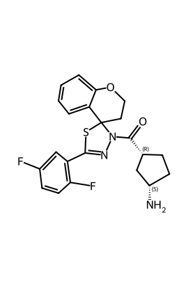 N[C@H]1CC[C@@H](C(=O)N2N=C(c3cc(F)ccc3F)SC23CCOc2ccccc23)C1